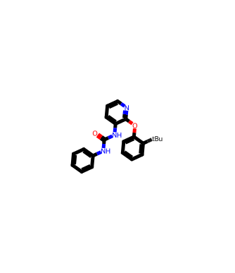 CC(C)(C)c1ccccc1Oc1ncccc1NC(=O)Nc1ccccc1